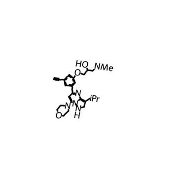 C#Cc1cc(OCC(O)CNC)cc(C2=NC3=C(C(C)C)CNN3C(N3CCOCC3)=C2)c1